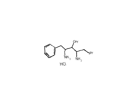 CC(C)CC(N)C(O)C(N)Cc1ccccc1.Cl